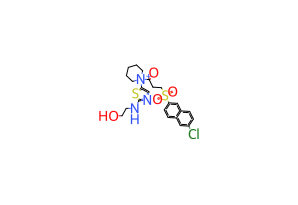 O=C(CCS(=O)(=O)c1ccc2cc(Cl)ccc2c1)[N+]1(c2cnc(NCCO)s2)CCCCC1